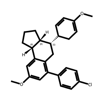 COC1=CCC([C@@H]2Cc3c(-c4ccc(Cl)cc4)cc(OC)cc3[C@@H]3CCC[C@@H]32)C=C1